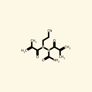 C=C(C)C(=O)N(CCC#N)N(C(N)=O)C(=O)C(=C)C